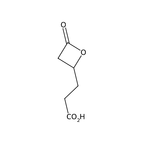 O=C(O)CCC1CC(=O)O1